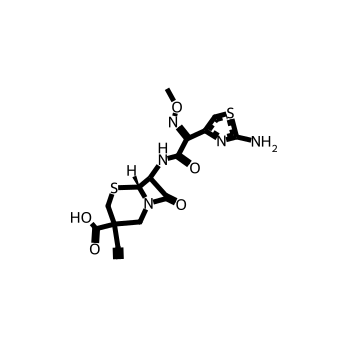 C#CC1(C(=O)O)CS[C@@H]2C(NC(=O)C(=NOC)c3csc(N)n3)C(=O)N2C1